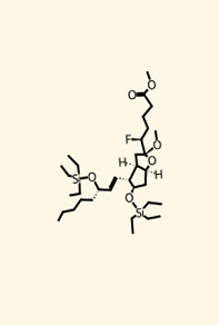 CCCCC[C@@H](/C=C/[C@@H]1[C@H]2C[C@](OC)([C@@H](F)CCCC(=O)OC)O[C@H]2C[C@H]1O[Si](CC)(CC)CC)O[Si](CC)(CC)CC